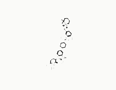 C=C1NC(=O)CCC1n1c(=O)n(C)c2cc([C@H]3CC[C@@H](C(=O)Nc4cccc(CS(=O)(=O)N5CCCCC5(C)C)c4)CC3)ccc21